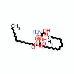 CCCCC/C=C\C/C=C\C/C=C\CCCCCCC(=O)O[C@H](COC(=O)CCCCCCC/C=C\CCCCCCC)COP(=O)(O)OC[C@H](N)C(=O)O